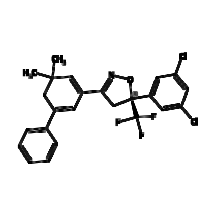 CC1(C)C=C(C2=NO[C@@](c3cc(Cl)cc(Cl)c3)(C(F)(F)F)C2)C=C(c2ccccc2)C1